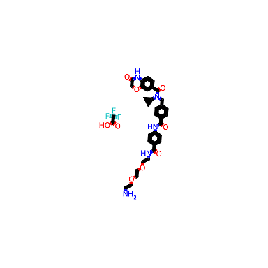 NCCOCCOCCNC(=O)c1ccc(NC(=O)c2ccc(CN(C(=O)c3ccc4c(c3)OCC(=O)N4)C3CC3)cc2)cc1.O=C(O)C(F)(F)F